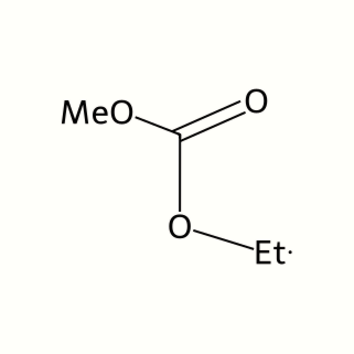 C[CH]OC(=O)OC